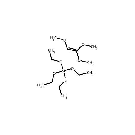 CCO[Si](OCC)(OCC)OCC.COC=C(OC)OC